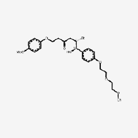 CC[C@@H](CC(=O)CCOc1ccc(OC)cc1)[C@H](O)c1ccc(OCCOCCOC#N)cc1